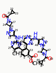 COC(=O)c1ccc(-c2nc(Nc3cnn(C4CN(C(=O)C5CC5)C4)c3)ncc2C)c(-c2nc(Nc3cnn(C4CN(C(=O)C5CC5)C4)c3)ncc2C)c1